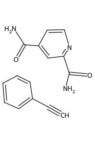 C#Cc1ccccc1.NC(=O)c1ccnc(C(N)=O)c1